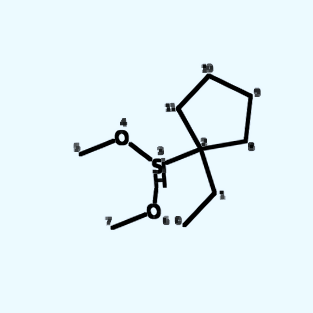 CCC1([SiH](OC)OC)CCCC1